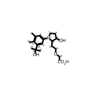 Cc1cc(N2CCC(O)C2CCOCC(=O)O)cc(C(C)(C)O)c1C